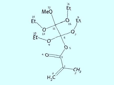 C=C(C)C(=O)OC(OCC)(OCC)C(OC)(OCC)OCC